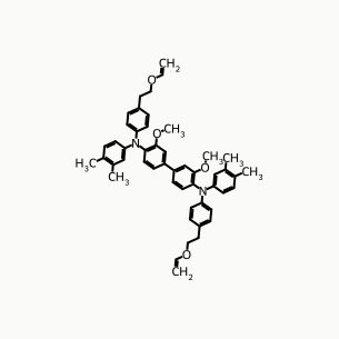 C=COCCc1ccc(N(c2ccc(C)c(C)c2)c2ccc(-c3ccc(N(c4ccc(CCOC=C)cc4)c4ccc(C)c(C)c4)c(OC)c3)cc2OC)cc1